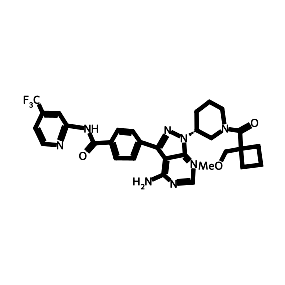 COCC1(C(=O)N2CCC[C@@H](n3nc(-c4ccc(C(=O)Nc5cc(C(F)(F)F)ccn5)cc4)c4c(N)ncnc43)C2)CCC1